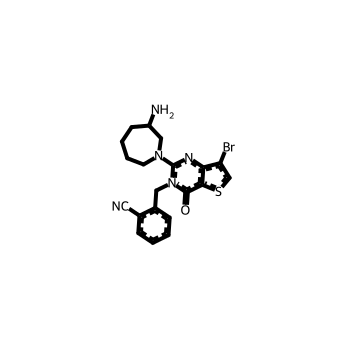 N#Cc1ccccc1Cn1c(N2CCCCC(N)C2)nc2c(Br)csc2c1=O